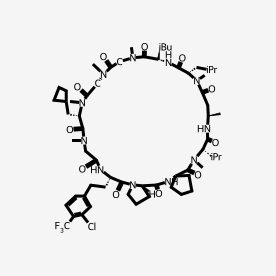 CC[C@H](C)[C@@H]1NC(=O)[C@H](CC(C)C)N(C)C(=O)C[C@@H](C)NC(=O)[C@H](C(C)C)N(C)C(=O)C2(CCCC2)NC(=O)[C@@H]2CCCN2C(=O)[C@H](CCc2ccc(C(F)(F)F)c(Cl)c2)NC(=O)CN(C)C(=O)[C@H](CC2CCC2)N(C)C(=O)CN(C)C(=O)CN(C)C1=O